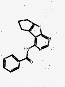 O=C(Nc1ncnc2sc3c(c12)CCC3)c1ccccc1